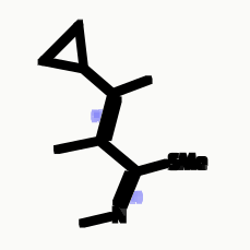 C/N=C(SC)\C(C)=C(/C)C1CC1